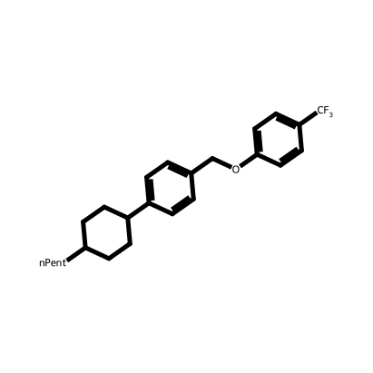 CCCCCC1CCC(c2ccc(COc3ccc(C(F)(F)F)cc3)cc2)CC1